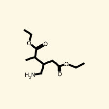 CCOC(=O)CC(CN)C(C)C(=O)OCC